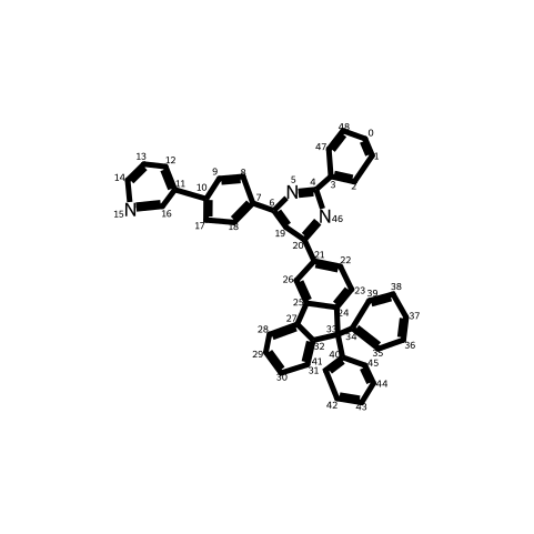 c1ccc(-c2nc(-c3ccc(-c4cccnc4)cc3)cc(-c3ccc4c(c3)-c3ccccc3C4(c3ccccc3)c3ccccc3)n2)cc1